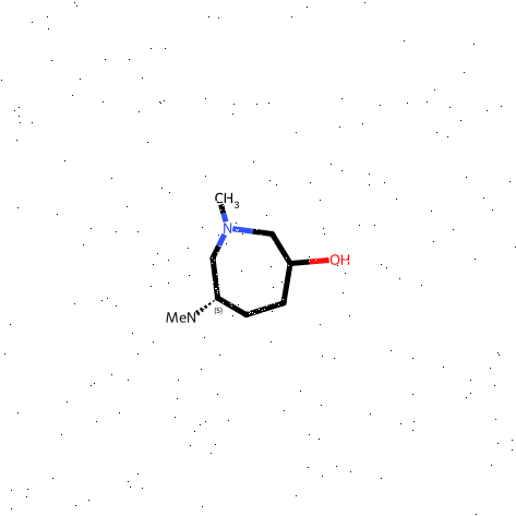 CN[C@H]1CCC(O)CN(C)C1